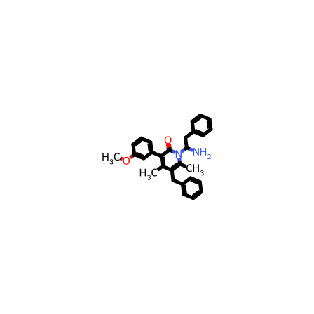 COc1cccc(-c2c(C)c(Cc3ccccc3)c(C)n(C(N)Cc3ccccc3)c2=O)c1